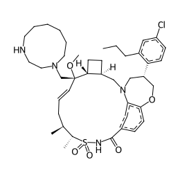 CCCc1cc(Cl)ccc1[C@@H]1COc2ccc3cc2N(C1)C[C@@H]1CC[C@H]1[C@@](CN1CCCCCCNCC1)(OC)/C=C/C[C@H](C)[C@@H](C)S(=O)(=O)NC3=O